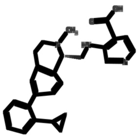 CN1CCc2cc(-c3ccccc3C3CC3)ccc2[C@H]1CNc1cnccc1C(=O)O